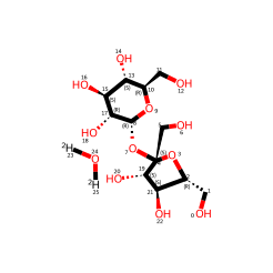 OC[C@H]1O[C@@](CO)(O[C@H]2O[C@H](CO)[C@@H](O)[C@H](O)[C@H]2O)[C@@H](O)[C@@H]1O.[2H]O[2H]